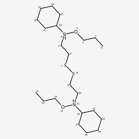 CCCO[SiH](CCSSCC[SiH](OCCC)C1CCCCC1)C1CCCCC1